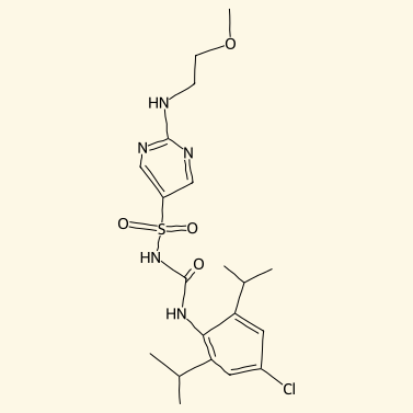 COCCNc1ncc(S(=O)(=O)NC(=O)Nc2c(C(C)C)cc(Cl)cc2C(C)C)cn1